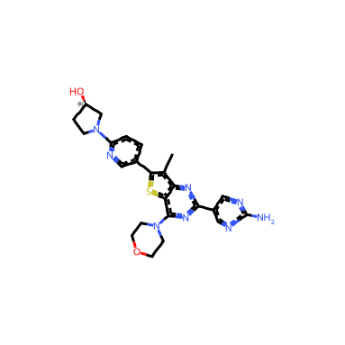 Cc1c(-c2ccc(N3CC[C@@H](O)C3)nc2)sc2c(N3CCOCC3)nc(-c3cnc(N)nc3)nc12